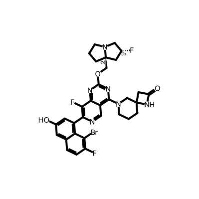 O=C1CC2(CCCN(c3nc(OC[C@@]45CCCN4C[C@H](F)C5)nc4c(F)c(-c5cc(O)cc6ccc(F)c(Br)c56)ncc34)C2)N1